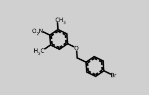 Cc1cc(OCc2ccc(Br)cc2)cc(C)c1[N+](=O)[O-]